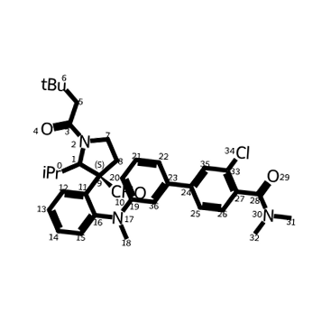 CC(C)C1N(C(=O)CC(C)(C)C)CC[C@]1(C=O)c1ccccc1N(C)c1cccc(-c2ccc(C(=O)N(C)C)c(Cl)c2)c1